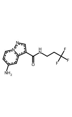 Nc1ccn2ncc(C(=O)NCCC(F)(F)F)c2c1